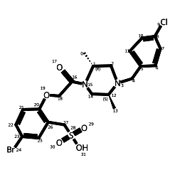 C[C@@H]1CN(Cc2ccc(Cl)cc2)[C@@H](C)CN1C(=O)COc1ccc(Br)cc1CS(=O)(=O)O